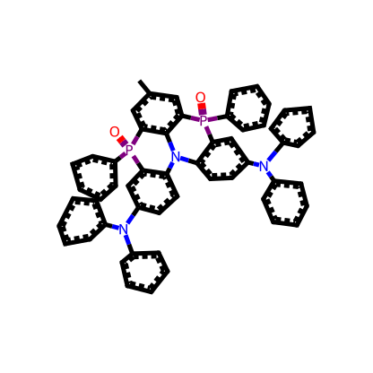 Cc1cc2c3c(c1)P(=O)(c1ccccc1)c1cc(N(c4ccccc4)c4ccccc4)ccc1N3c1ccc(N(c3ccccc3)c3ccccc3)cc1P2(=O)c1ccccc1